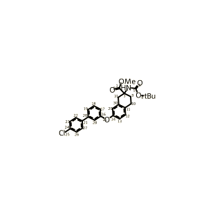 COC(=O)C1(NC(=O)OC(C)(C)C)CCc2ccc(Oc3cccc(-c4ccc(Cl)cc4)c3)cc2C1